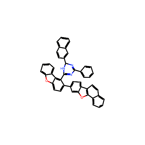 c1ccc(C2=NC(c3ccc4ccccc4c3)NC(c3c(-c4ccc5c(c4)oc4c6ccccc6ccc54)ccc4oc5ccccc5c34)=N2)cc1